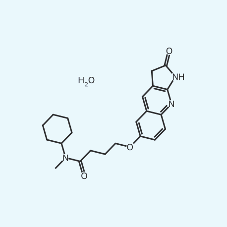 CN(C(=O)CCCOc1ccc2nc3c(cc2c1)CC(=O)N3)C1CCCCC1.O